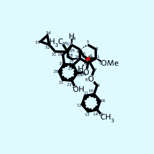 CO[C@]12CC[C@@]3(C[C@@H]1COCc1cccc(C)c1)[C@H]1Cc4ccc(O)c5c4[C@@]3(CCC1(C)CC1CC1)[C@H]2O5